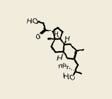 CCC[C@](C)(O)CC1=C(C)C[C@@H]2[C@H](CC[C@]3(C)[C@@H](C(=O)CO)CC[C@@H]23)C1